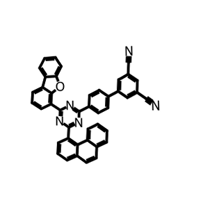 N#Cc1cc(C#N)cc(-c2ccc(-c3nc(-c4cccc5c4oc4ccccc45)nc(-c4cccc5ccc6ccccc6c45)n3)cc2)c1